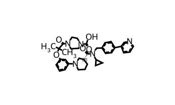 CC(C)(Oc1cccc(N2CCC[C@@H](C(=O)N(Cc3ccc(-c4cccnc4)cc3)C3CC3)C2)c1)C(=O)N1CCN(C(=O)O)CC1